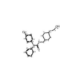 O=C(OCC1CCC(CCO)CC1)N(c1ccccc1)c1ccc(Cl)cc1